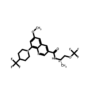 COc1cc(N2CCC(C(F)(F)F)CC2)c2ncc(C(=O)N[C@@H](C)COC(F)(F)F)cc2c1